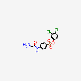 NCC(=O)Nc1ccc(S(=O)(=O)Oc2ccc(Cl)c(Cl)c2)cc1